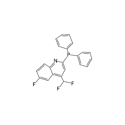 Fc1ccc2nc(P(c3ccccc3)c3ccccc3)cc(C(F)F)c2c1